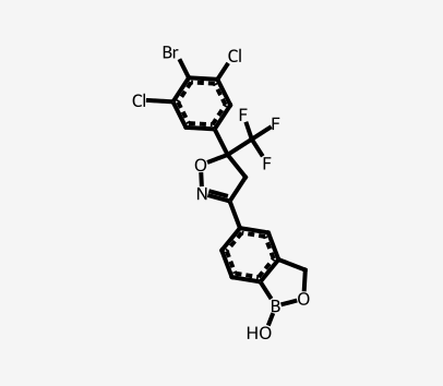 OB1OCc2cc(C3=NOC(c4cc(Cl)c(Br)c(Cl)c4)(C(F)(F)F)C3)ccc21